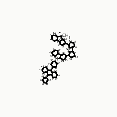 CC1(C)c2ccccc2-c2ccc(-c3cccc4c3sc3c(-c5ccc6c(c5)c5ccccc5n6-c5ccc(-c6c7ccccc7c(-c7ccccc7)c7ccccc67)cc5)cccc34)cc21